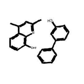 Cc1cc(C)c2cccc(O)c2n1.Oc1cccc(-c2ccccc2)c1